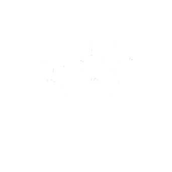 O=C1NC(=O)C2CN(C(=O)c3c(Nc4ccc(I)cc4F)sc4ncccc34)C=C12